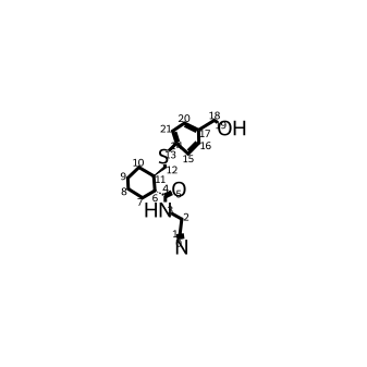 N#CCNC(=O)[C@@H]1CCCC[C@H]1CSc1ccc(CO)cc1